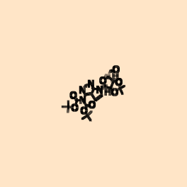 CC(C)(C)OC(=O)N(C(=O)OC(C)(C)C)c1ncnc2c1ccn2[C@@H]1O[C@H](C=O)[C@H]2OC(C)(C)O[C@H]21